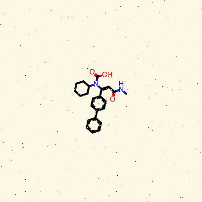 CNC(=O)C=C(c1ccc(-c2ccccc2)cc1)N(C(=O)O)C1CCCCC1